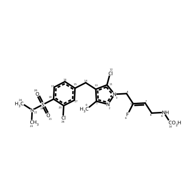 Cc1nn(CC(F)=CCNC(=O)O)c(Cl)c1Cc1ccc(S(=O)(=O)N(C)C)c(Cl)c1